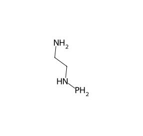 NCCNP